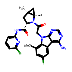 COc1cc(F)cc2c3c(N)ncnc3n(CC(=O)N3[C@H](C(=O)Nc4cccc(Br)n4)C[C@@]4(C)C[C@@H]34)c12